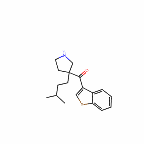 CC(C)CCC1(C(=O)c2csc3ccccc23)CCNC1